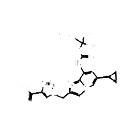 CC(C)(C)OC(=O)Nc1cc(C2CC2)cn2cc(Cn3cc(C(=O)O)nn3)nc12